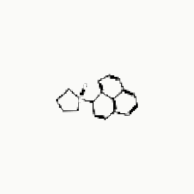 O=P1(C2C=Cc3cccc4cccc2c34)CCCC1